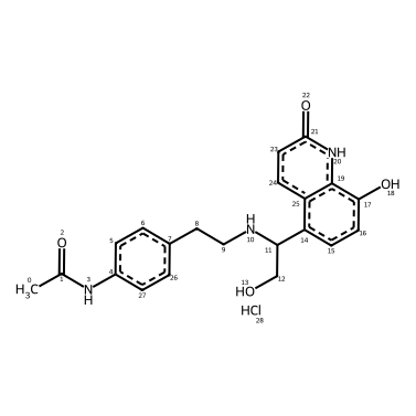 CC(=O)Nc1ccc(CCNC(CO)c2ccc(O)c3[nH]c(=O)ccc23)cc1.Cl